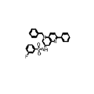 O=S(=O)(N[C@H]1Cc2nc(-c3ccccc3)ccc2N(Cc2ccccc2)C1)c1cccc(F)c1